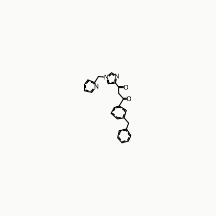 O=C(CC(=O)c1cn(Cc2ccccn2)cn1)c1cccc(Cc2ccccc2)c1